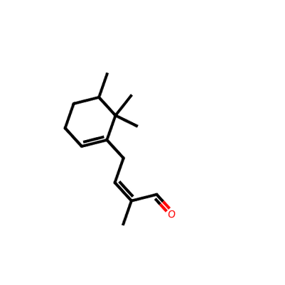 CC(C=O)=CCC1=CCCC(C)C1(C)C